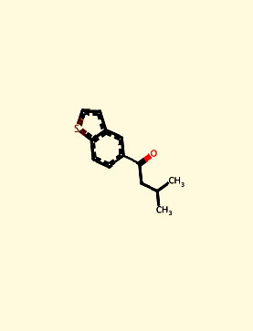 CC(C)CC(=O)c1ccc2sccc2c1